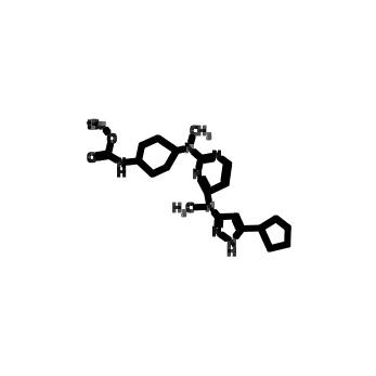 CN(c1cc(C2CCCC2)[nH]n1)c1ccnc(N(C)C2CCC(NC(=O)OC(C)(C)C)CC2)n1